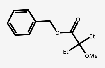 CCC(CC)(OC)C(=O)OCc1ccccc1